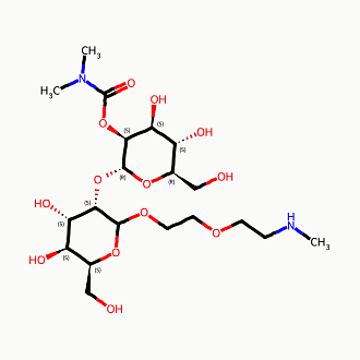 CNCCOCCOC1O[C@@H](CO)[C@@H](O)[C@H](O)[C@@H]1O[C@H]1O[C@H](CO)[C@@H](O)[C@H](O)[C@@H]1OC(=O)N(C)C